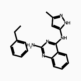 CCc1ccccc1.Cc1cc(Nc2nc(N)nc3ccccc23)[nH]n1